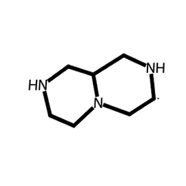 [CH]1CN2CCNCC2CN1